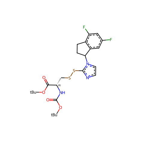 CC(C)(C)OC(=O)N[C@@H](CSSc1nccn1C1CCc2c(F)cc(F)cc21)C(=O)OC(C)(C)C